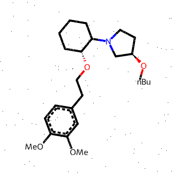 CCCCO[C@@H]1CCN(C2CCCC[C@H]2OCCc2ccc(OC)c(OC)c2)C1